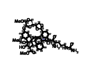 C=C(/C=C\C(=C/C)OC)[C@@]12Oc3cc(O[C@@H]4O[C@@H]([C@H]5COC(c6ccc(NC(=O)[C@@H](N)CCCNC(N)=O)cc6)O5)CO[C@H]4OC)cc(OC)c3[C@]1(O)[C@H](O)[C@H](C(=O)OC)[C@H]2c1ccccc1